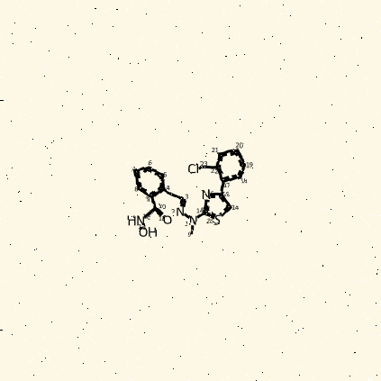 CN(N=Cc1ccccc1C(=O)NO)c1nc(-c2ccccc2Cl)cs1